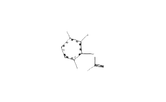 C=C(C)Nc1c(Cl)ccc(Cl)c1C(C)C